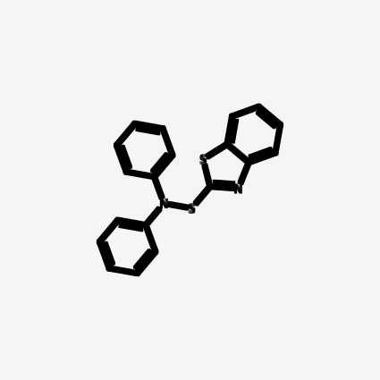 c1ccc(N(Sc2nc3ccccc3s2)c2ccccc2)cc1